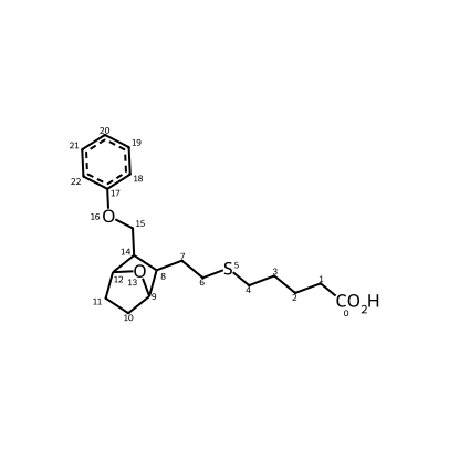 O=C(O)CCCCSCCC1C2CCC(O2)C1COc1ccccc1